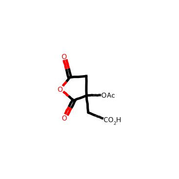 CC(=O)OC1(CC(=O)O)CC(=O)OC1=O